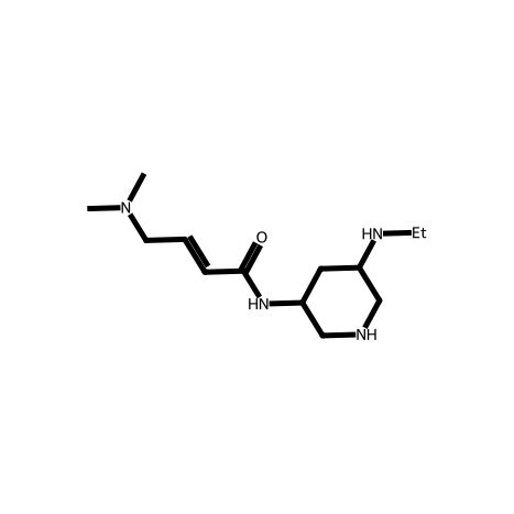 CCNC1CNCC(NC(=O)/C=C/CN(C)C)C1